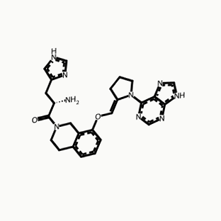 N[C@@H](Cc1c[nH]cn1)C(=O)N1CCc2cccc(O/C=C3\CCCN3c3ncnc4[nH]cnc34)c2C1